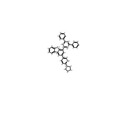 c1ccc(-c2nc(-c3ccccc3)nc(-c3cc(-c4ccc(N5CCCC5)nc4)cc4c3sc3ccccc34)n2)cc1